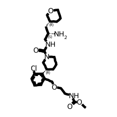 COC(=O)NCCOCc1cccc(Cl)c1[C@H]1CCCN(C(=O)NC[C@@H](N)C[C@H]2CCCOC2)C1